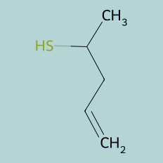 C=CCC(C)S